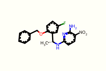 C[C@@H](Nc1ccc([N+](=O)[O-])c(N)n1)c1cc(F)ccc1OCc1ccccc1